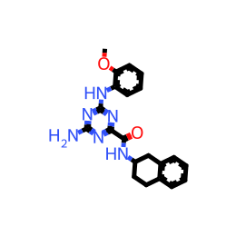 COc1ccccc1Nc1nc(N)nc(C(=O)NC2CCc3ccccc3C2)n1